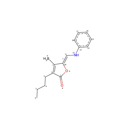 BC1=C(CCCC)C(=O)O/C1=C\Nc1ccccc1